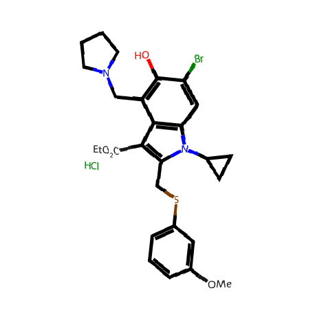 CCOC(=O)c1c(CSc2cccc(OC)c2)n(C2CC2)c2cc(Br)c(O)c(CN3CCCC3)c12.Cl